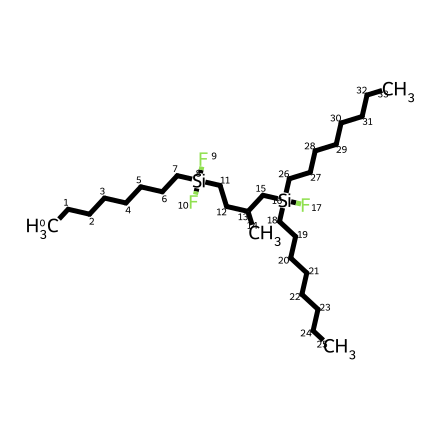 CCCCCCCC[Si](F)(F)CCC(C)C[Si](F)(CCCCCCCC)CCCCCCCC